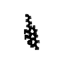 CCCCCc1ccc2cc3c(c(F)c2c1F)OCC(C)=C3